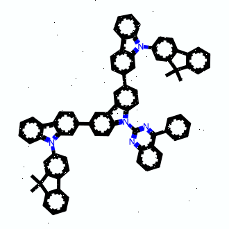 CC1(C)c2ccccc2-c2ccc(-n3c4ccccc4c4ccc(-c5ccc6c(c5)c5cc(-c7ccc8c9ccccc9n(-c9ccc%10c(c9)C(C)(C)c9ccccc9-%10)c8c7)ccc5n6-c5nc(-c6ccccc6)c6ccccc6n5)cc43)cc21